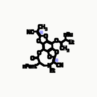 C=C(Oc1c2c(c3c4c1O/C(=C(\C#N)N(CC)CC(CCCCC)C(=O)O3)O4)O/C(=C(/C)C#N)O2)C(CC)CCCC